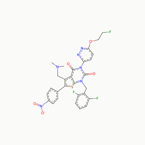 CN(C)Cc1c(-c2ccc([N+](=O)[O-])cc2)sc2c1c(=O)n(-c1ccc(OCCF)nn1)c(=O)n2Cc1c(F)cccc1F